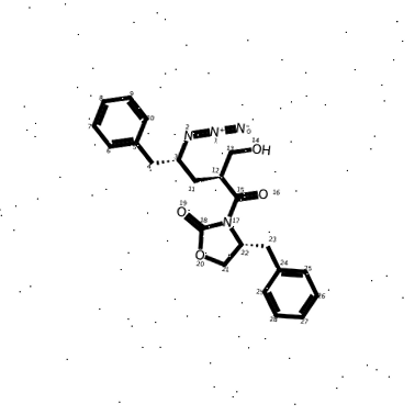 [N-]=[N+]=N[C@@H](Cc1ccccc1)C[C@@H](CO)C(=O)N1C(=O)OC[C@H]1Cc1ccccc1